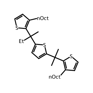 CCCCCCCCc1ccsc1C(C)(C)c1ccc(C(C)(CC)c2sccc2CCCCCCCC)s1